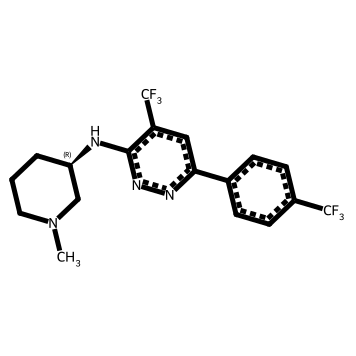 CN1CCC[C@@H](Nc2nnc(-c3ccc(C(F)(F)F)cc3)cc2C(F)(F)F)C1